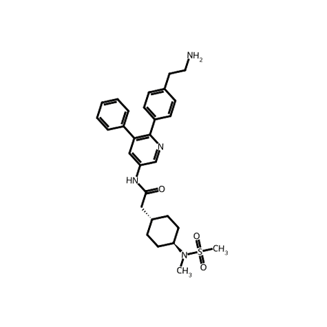 CN([C@H]1CC[C@H](CC(=O)Nc2cnc(-c3ccc(CCN)cc3)c(-c3ccccc3)c2)CC1)S(C)(=O)=O